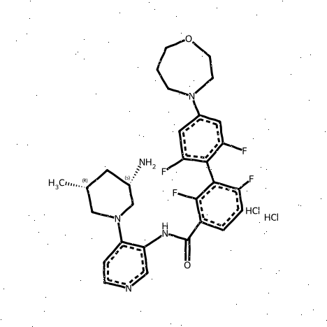 C[C@@H]1C[C@H](N)CN(c2ccncc2NC(=O)c2ccc(F)c(-c3c(F)cc(N4CCCOCC4)cc3F)c2F)C1.Cl.Cl